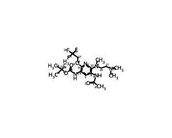 CC(=O)Nc1cc(NC(=O)OC(C)(C)C)c(OCC(F)(F)F)nc1N(C)CCN(C)C